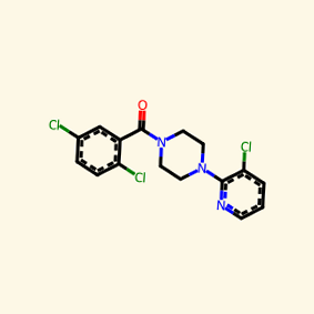 O=C(c1cc(Cl)ccc1Cl)N1CCN(c2ncccc2Cl)CC1